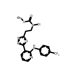 CCN(CCc1nnc(-c2cccnc2Nc2ccc(C(F)(F)F)cc2)o1)C(=O)OC(C)(C)C